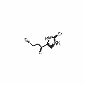 CCC(C)CCC(=O)c1c[nH]c(=O)[nH]1